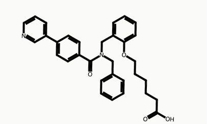 O=C(O)CCCCCOc1ccccc1CN(Cc1ccccc1)C(=O)c1ccc(-c2cccnc2)cc1